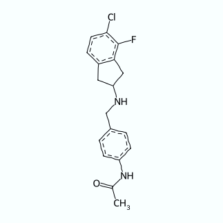 CC(=O)Nc1ccc(CNC2Cc3ccc(Cl)c(F)c3C2)cc1